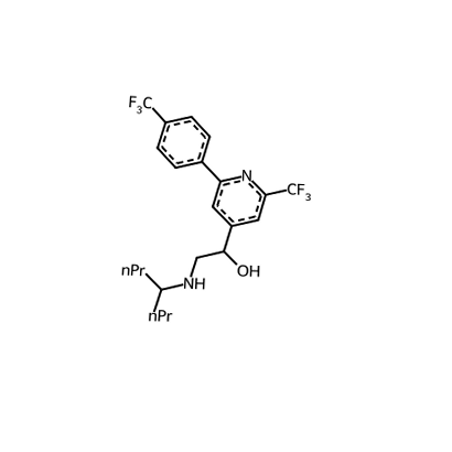 CCCC(CCC)NCC(O)c1cc(-c2ccc(C(F)(F)F)cc2)nc(C(F)(F)F)c1